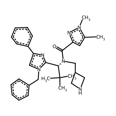 Cc1cc(C(=O)N(CC2CNC2)[C@@H](c2nc(-c3ccccc3)cn2Cc2ccccc2)C(C)(C)C)nn1C